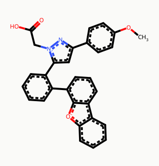 COc1ccc(-c2cc(-c3ccccc3-c3cccc4c3oc3ccccc34)n(CC(=O)O)n2)cc1